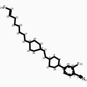 N#Cc1ccc(C2CCC(CCC3CCC(CCCCCCC=CF)CC3)CC2)cc1F